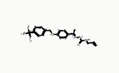 C=CCNC(=S)N/N=C(\C)c1ccc(OCc2ccc(C(F)(F)F)cc2)cc1